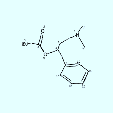 CCC(C)C(=O)OC(CN(C)C)c1ccccc1